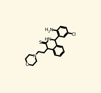 Nc1ccc(Cl)cc1C1NC(=S)C(CCN2CCOCC2)c2ccccc21